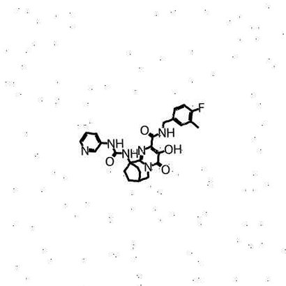 Cc1cc(CNC(=O)c2nc3n(c(=O)c2O)CC2CCC3(NC(=O)Nc3cccnc3)CC2)ccc1F